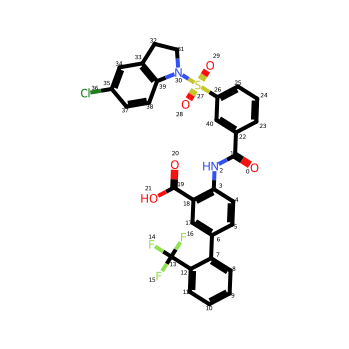 O=C(Nc1ccc(-c2ccccc2C(F)(F)F)cc1C(=O)O)c1cccc(S(=O)(=O)N2CCc3cc(Cl)ccc32)c1